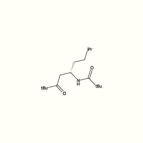 CC(C)CC[C@@H](CC(=O)C(C)(C)C)NC(=O)C(C)(C)C